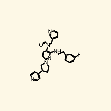 O=CN(Cc1cccnc1)c1ccc(N2CCC(c3ccncc3)C2)nc1NCCc1cccc(F)c1